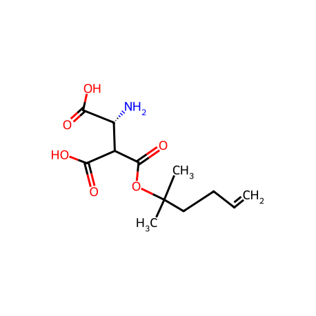 C=CCCC(C)(C)OC(=O)C(C(=O)O)[C@@H](N)C(=O)O